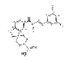 CC(C)N1CCC2(CC1)COc1ccc(NC(=O)C=Cc3cc(Cl)cc(Cl)c3)cc12